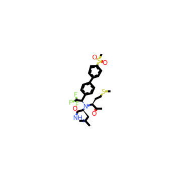 CSCC[C@@H](C(C)=O)N([C@@H](c1ccc(-c2ccc(S(C)(=O)=O)cc2)cc1)C(F)(F)F)[C@@H](CC(C)C)C(N)=O